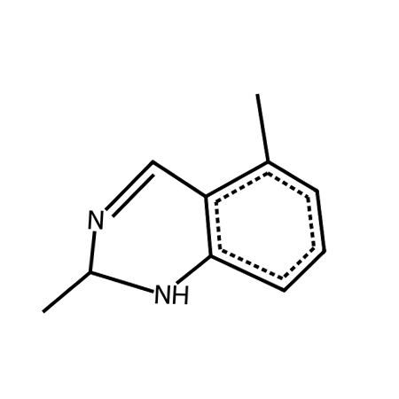 Cc1cccc2c1C=NC(C)N2